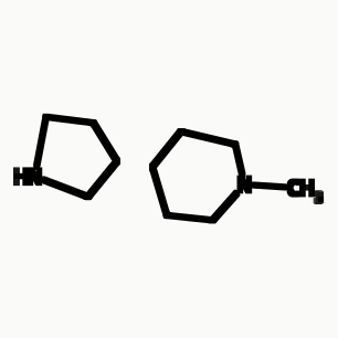 C1CCNC1.CN1CCCCC1